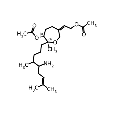 CC(=O)OCC=C1CC[C@@H](OC(C)=O)[C@](C)(CCCC(C)C(N)CC=C(C)C)OC1